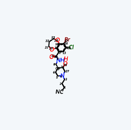 N#CCCCN1CC[C@@H](CNC(=O)c2cc(Cl)c(Br)c3c2OCCCO3)C(O)C1